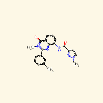 Cn1ccc(C(=O)Nc2cccc3c(=O)n(C)c(-c4cccc(C(F)(F)F)c4)nc23)n1